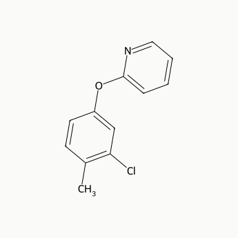 Cc1ccc(Oc2ccccn2)cc1Cl